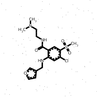 CN(C)CCNC(=O)c1cc(S(C)(=O)=O)c(Cl)cc1NCc1ccoc1